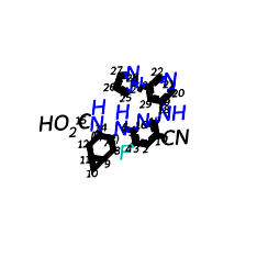 N#Cc1cc(F)c(N[C@@H]2CC3CC3C[C@H]2NC(=O)O)nc1Nc1cncc(-n2cccn2)c1